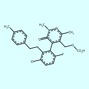 Cc1ccc(CCc2c(Cl)ccc(F)c2-c2c(COC(=O)O)c(C)nn(C)c2=O)cc1